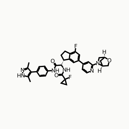 Cc1n[nH]c(C)c1-c1ccc(NC(=O)C(NC(=O)C2(F)CC2)[C@@H]2CCc3c(F)cc(-c4ccnc(N5C[C@@H]6C[C@H]5CO6)c4)cc32)cc1